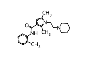 Cc1ccccc1NC(=O)c1cc(C)n(CCN2CCCCC2)c1C